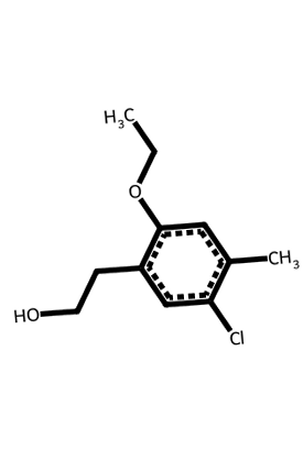 CCOc1cc(C)c(Cl)cc1CCO